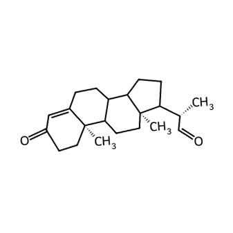 C[C@H](C=O)C1CCC2C3CCC4=CC(=O)CC[C@]4(C)C3CC[C@@]21C